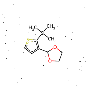 C[Si](C)(C)c1sccc1C1OCCO1